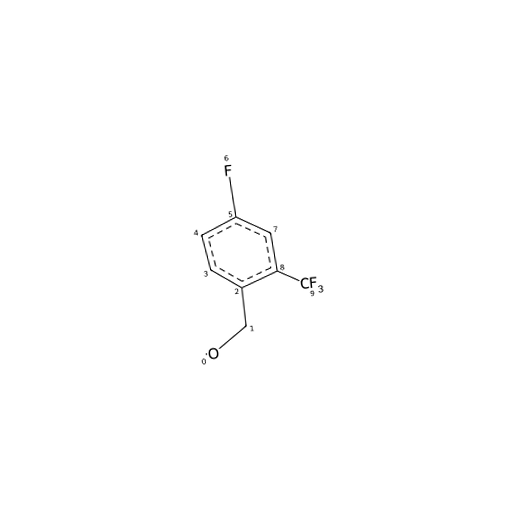 [O]Cc1ccc(F)cc1C(F)(F)F